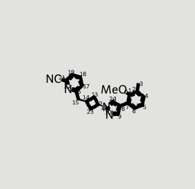 COc1c(C)cccc1-c1cnn([C@H]2C[C@H](Cc3cccc(C#N)n3)C2)c1